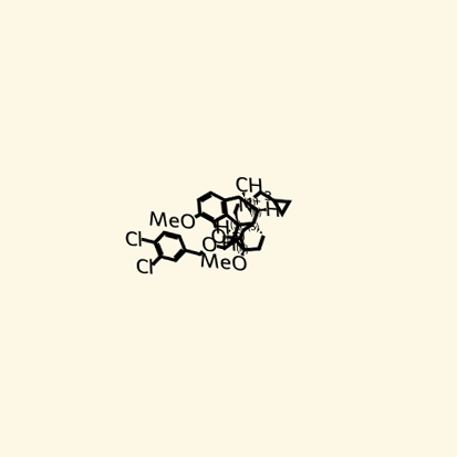 COc1ccc2c3c1O[C@H]1[C@@]4(OC)CC[C@@]5(C[C@@H]4COCc4ccc(Cl)c(Cl)c4)[C@@H](C2)[N@@+](C)(CC2CC2)CC[C@]315